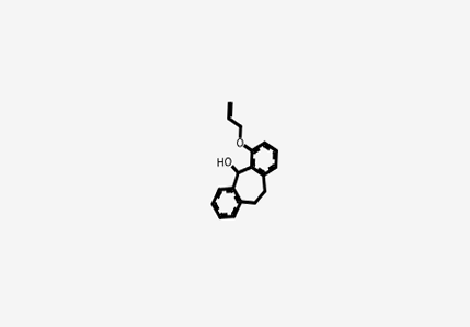 C=CCOc1cccc2c1C(O)c1ccccc1CC2